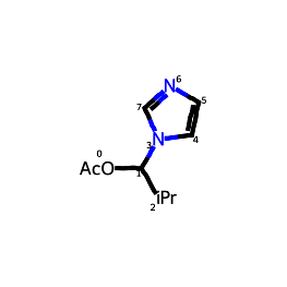 CC(=O)OC(C(C)C)n1ccnc1